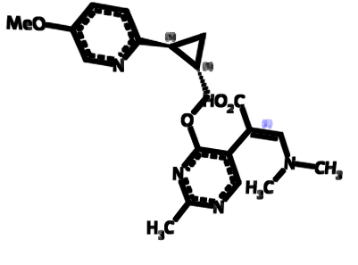 COc1ccc([C@H]2C[C@@H]2COc2nc(C)ncc2/C(=C\N(C)C)C(=O)O)nc1